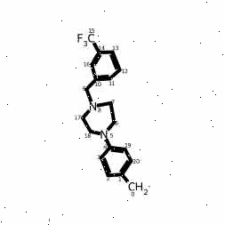 [CH2]c1ccc(N2CCN(Cc3cccc(C(F)(F)F)c3)CC2)cc1